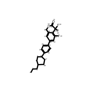 CCCC1CCC(c2ccc(-c3cc(F)c4c(c3)COC(=O)C4(F)F)cc2)CC1